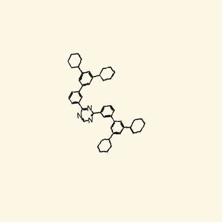 c1cc(-c2cc(C3CCCCC3)cc(C3CCCCC3)c2)cc(-c2ncnc(-c3cccc(-c4cc(C5CCCCC5)cc(C5CCCCC5)c4)c3)n2)c1